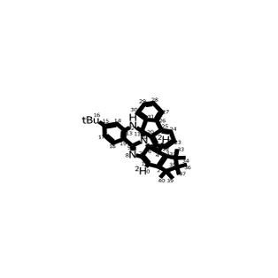 [2H]c1c2c(c([2H])c3c1nc1n3C3(Nc4cc(C(C)(C)C)ccc4-1)c1ccccc1-c1ccccc13)C(C)(C)C(C)(C)C2(C)C